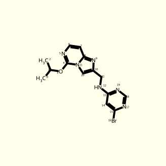 CC(C)Oc1nccc2nc(CNc3cc(Br)ncn3)cn12